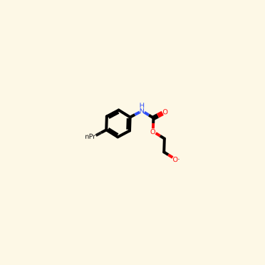 [CH2]CCc1ccc(NC(=O)OCC[O])cc1